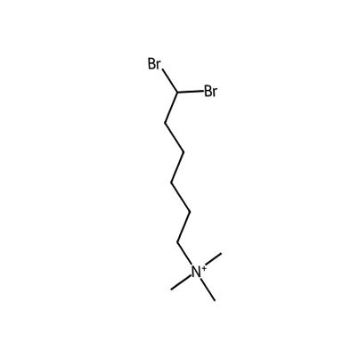 C[N+](C)(C)CCCCCC(Br)Br